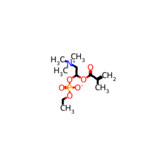 C=C(C)C(=O)OC(C[N+](C)(C)C)OP(=O)([O-])OCC